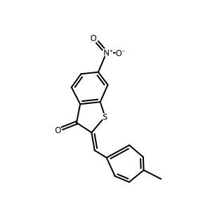 Cc1ccc(C=C2Sc3cc([N+](=O)[O-])ccc3C2=O)cc1